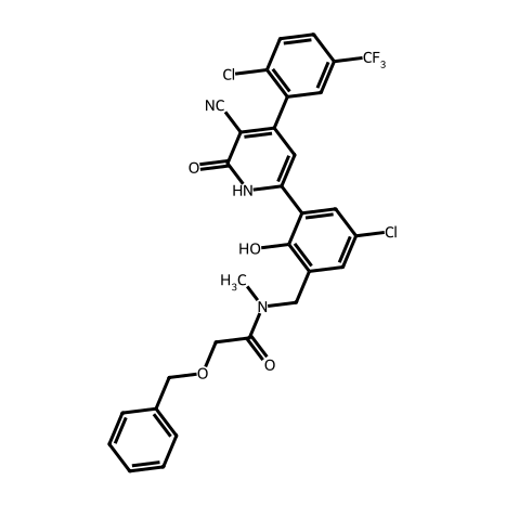 CN(Cc1cc(Cl)cc(-c2cc(-c3cc(C(F)(F)F)ccc3Cl)c(C#N)c(=O)[nH]2)c1O)C(=O)COCc1ccccc1